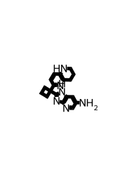 Nc1cnc2nc(C3(c4ccc5c(n4)CCCN5)CCC3)[nH]c2c1